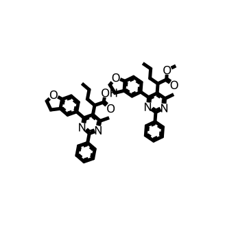 CCCC(C(=O)O)c1c(C)nc(-c2ccccc2)nc1-c1ccc2c(c1)CCO2.CCCC(C(=O)OC)c1c(C)nc(-c2ccccc2)nc1-c1ccc2c(c1)CCO2